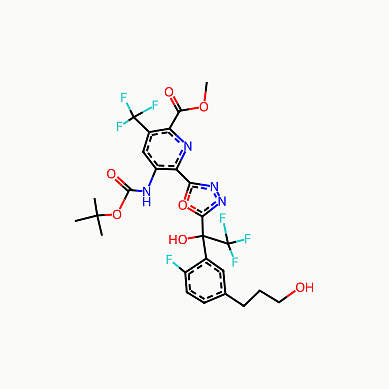 COC(=O)c1nc(-c2nnc(C(O)(c3cc(CCCO)ccc3F)C(F)(F)F)o2)c(NC(=O)OC(C)(C)C)cc1C(F)(F)F